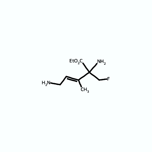 CCOC(=O)C(N)(CF)/C(C)=C/CN